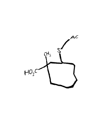 CC(=O)SC1CCCCC1(C)C(=O)O